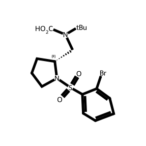 CC(C)(C)N(C[C@H]1CCCN1S(=O)(=O)c1ccccc1Br)C(=O)O